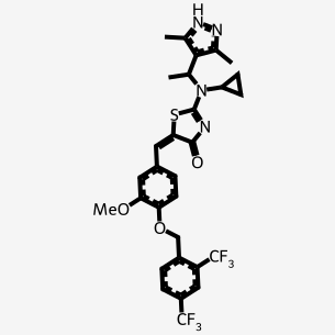 COc1cc(C=C2SC(N(C3CC3)C(C)c3c(C)n[nH]c3C)=NC2=O)ccc1OCc1ccc(C(F)(F)F)cc1C(F)(F)F